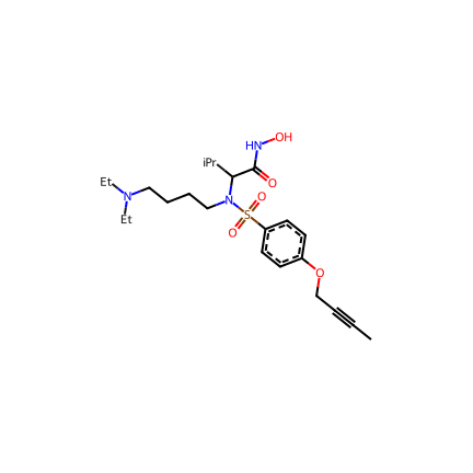 CC#CCOc1ccc(S(=O)(=O)N(CCCCN(CC)CC)C(C(=O)NO)C(C)C)cc1